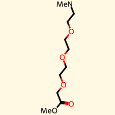 CNCCOCCOCCOCC(=O)OC